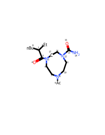 CCCCC(CC)C(=O)N1CCN(C(C)=O)CCN(C(N)=O)CC1